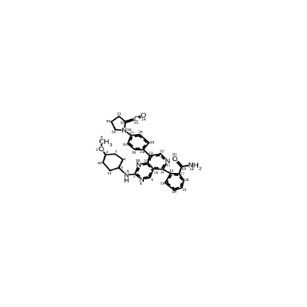 COC1CCC(Nc2ncc3c(-c4ccccc4C(N)=O)ncc(-c4ccc(N5CCCC5=C=O)cc4)c3n2)CC1